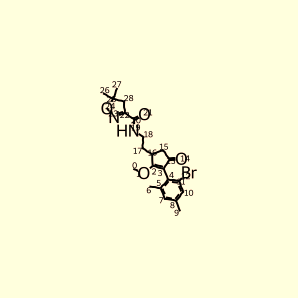 COC1=C(c2c(C)cc(C)cc2Br)C(=O)CC1CCNC(=O)C1=NOC(C)(C)C1